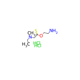 CCN(C)CC(=S)OCCN.Cl.Cl